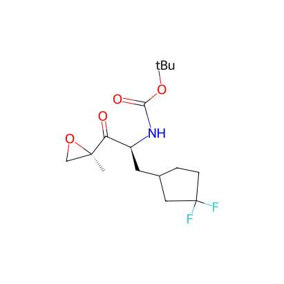 CC(C)(C)OC(=O)N[C@@H](CC1CCC(F)(F)C1)C(=O)[C@@]1(C)CO1